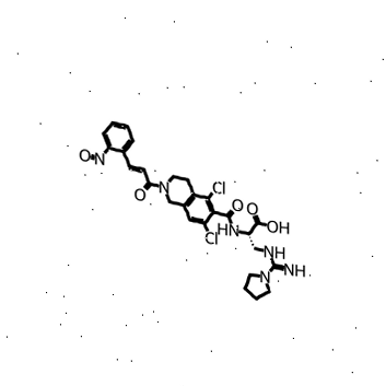 N=C(NC[C@H](NC(=O)c1c(Cl)cc2c(c1Cl)CCN(C(=O)/C=C/c1ccccc1N=O)C2)C(=O)O)N1CCCC1